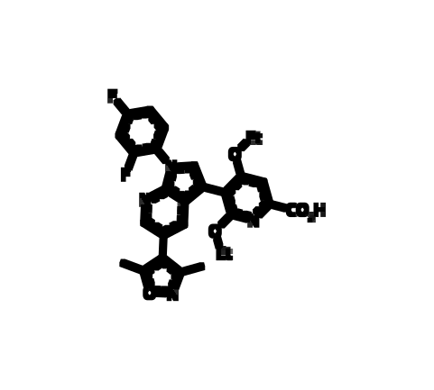 CCOc1cc(C(=O)O)nc(OCC)c1-c1cn(-c2ccc(F)cc2F)c2ncc(-c3c(C)noc3C)cc12